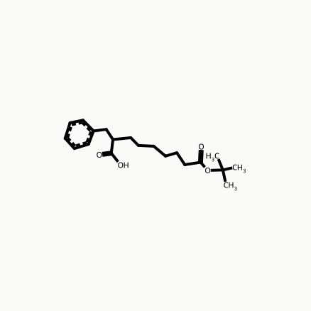 CC(C)(C)OC(=O)CCCCCCC(Cc1ccccc1)C(=O)O